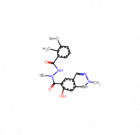 COc1cccc(C(=O)NN(C(=O)c2cc3c(cc2O)BN(C)N=C3)C(C)(C)C)c1C